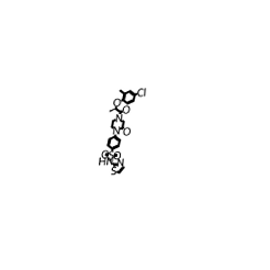 Cc1cc(Cl)ccc1O[C@H](C)C(=O)N1CCN(c2ccc(S(=O)(=O)Nc3nccs3)cc2)C(=O)C1